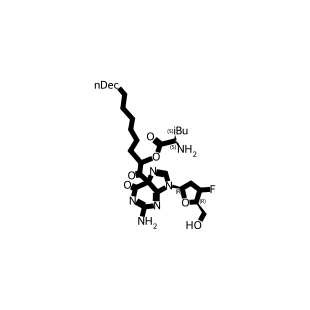 CCCCCCCCCCCCCCCCC(OC(=O)[C@@H](N)[C@@H](C)CC)C(=O)C12N=CN([C@H]3CC(F)[C@@H](CO)O3)C1=NC(N)=NC2=O